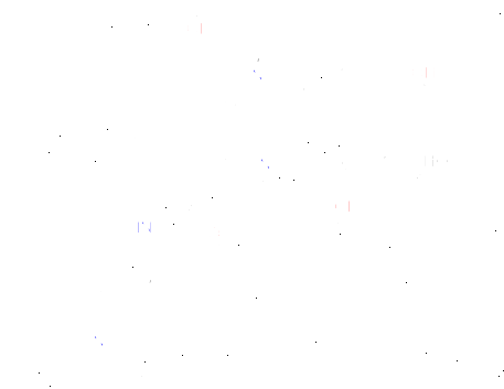 CN(C)CCNC(=O)c1ccc(O)c2nc3cc(O)c(C=O)c(O)c3nc12